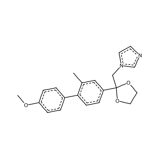 COc1ccc(-c2ccc(C3(Cn4ccnc4)OCCO3)cc2C)cc1